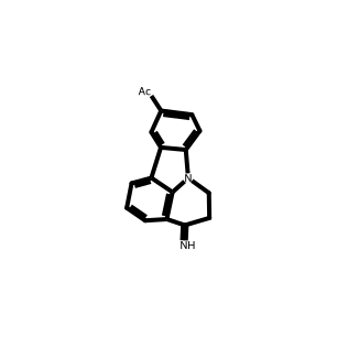 CC(=O)c1ccc2c(c1)c1cccc3c1n2CCC3=N